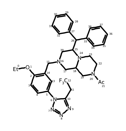 CCOc1ccc(-n2nnnc2CC(F)(F)F)cc1CN1CC2CN(C(C)=O)CCN2C(C(c2ccccc2)c2ccccc2)C1